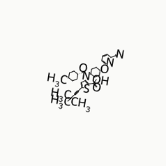 CC(C)(C)C#Cc1cc(N(C(=O)[C@H]2CC[C@H](C)CC2)C2CCC(Oc3cccc(C#N)n3)CC2)c(C(=O)O)s1